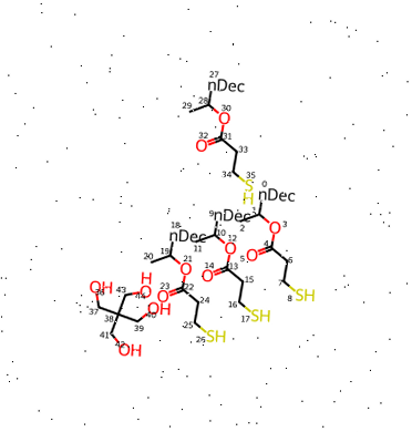 CCCCCCCCCCC(C)OC(=O)CCS.CCCCCCCCCCC(C)OC(=O)CCS.CCCCCCCCCCC(C)OC(=O)CCS.CCCCCCCCCCC(C)OC(=O)CCS.OCC(CO)(CO)CO